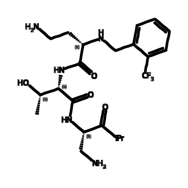 CC(C)C(=O)[C@H](CN)NC(=O)[C@@H](NC(=O)[C@H](CCN)NCc1ccccc1C(F)(F)F)[C@H](C)O